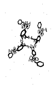 O=S(=O)(NC1CCCCC1)c1ccc2c(c1)-c1nc-2nc2[nH]c(nc3nc(nc4[nH]c(n1)c1ccc(S(=O)(=O)NC5CCCCC5)cc41)-c1ccc(S(=O)(=O)NC4CCCCC4)cc1-3)c1cc(S(=O)(=O)NC3CCCCC3)ccc21